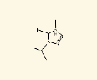 CC(C)N1N=C[SH](C)C1I